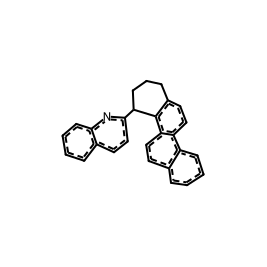 c1ccc2nc(C3CCCc4ccc5c(ccc6ccccc65)c43)ccc2c1